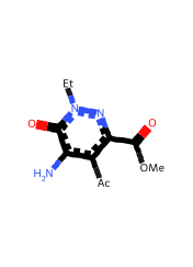 CCn1nc(C(=O)OC)c(C(C)=O)c(N)c1=O